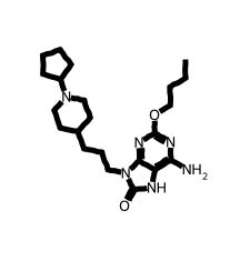 CCCCOc1nc(N)c2[nH]c(=O)n(CCCC3CCN(C4CCCC4)CC3)c2n1